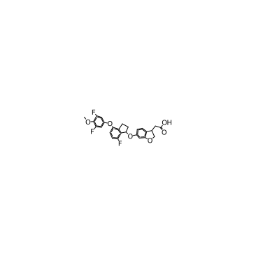 COc1c(F)cc(Oc2ccc(F)c3c2CC[C@H]3Oc2ccc3c(c2)OCC3CC(=O)O)cc1F